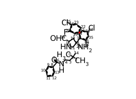 CC(C)(CCNC(=O)c1ccccc1)C[C@@H]1N[C@@H](C=O)[C@H](c2cccc(Cl)c2F)[C@@]1(N)c1ccc(Cl)cc1F